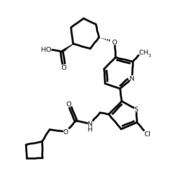 Cc1nc(-c2sc(Cl)cc2CNC(=O)OCC2CCC2)ccc1O[C@H]1CCC[C@H](C(=O)O)C1